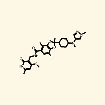 CSc1cc(C)[nH]c(=O)c1CNC(=O)c1cc(Cl)c2c(c1C)OC(C)(C1CCC(N(C)c3cnn(C)c3)CC1)O2